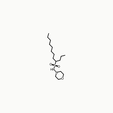 CCCCCCCCC(CCC)S(=O)(=O)NN1CCOCC1